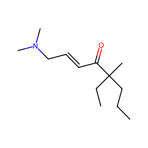 CCCC(C)(CC)C(=O)/C=C/CN(C)C